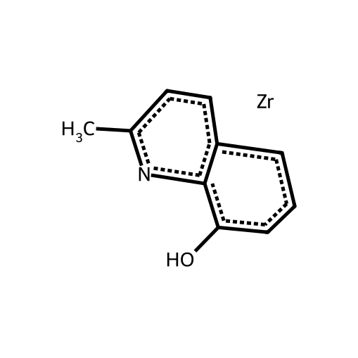 Cc1ccc2cccc(O)c2n1.[Zr]